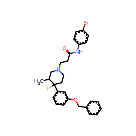 CC1CN(CCC(=O)Nc2ccc(Br)cc2)CCC1(F)c1cccc(OCc2ccccc2)c1